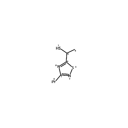 CC(C)c1nsc(C(C)S)n1